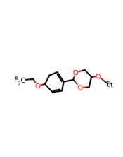 CCOC1COC(C2=CCC(OCC(F)(F)F)C=C2)OC1